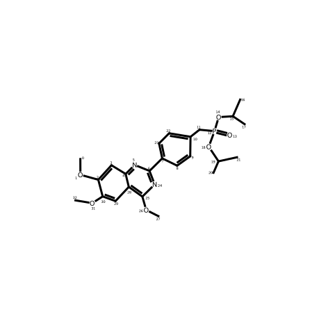 COc1cc2nc(-c3ccc(CP(=O)(OC(C)C)OC(C)C)cc3)nc(OC)c2cc1OC